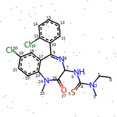 CCN(C)C(=S)NC1N=C(c2ccccc2Cl)c2cc(Cl)ccc2N(C)C1=O